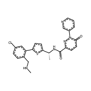 CNCc1ccc(Cl)cc1-c1ccc([C@@H](C)NC(=O)c2ccc(=O)n(-c3cccnc3)n2)s1